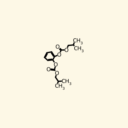 CC(C)COC(=O)Oc1ccccc1OC(=O)OCC(C)C